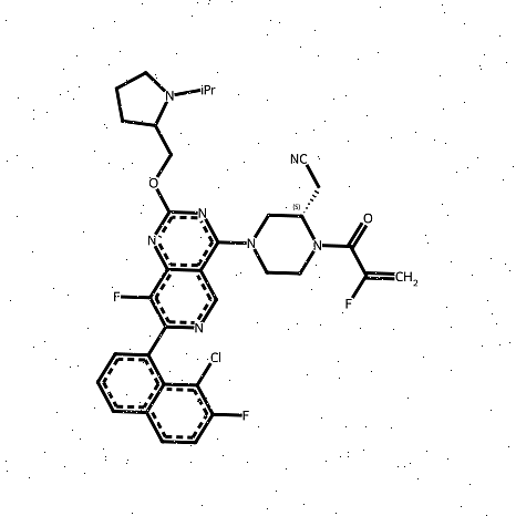 C=C(F)C(=O)N1CCN(c2nc(OCC3CCCN3C(C)C)nc3c(F)c(-c4cccc5ccc(F)c(Cl)c45)ncc23)C[C@@H]1CC#N